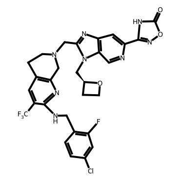 O=c1[nH]c(-c2cc3nc(CN4CCc5cc(C(F)(F)F)c(NCc6ccc(Cl)cc6F)nc5C4)n(C[C@@H]4CCO4)c3cn2)no1